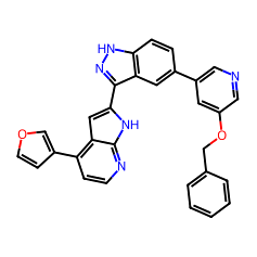 c1ccc(COc2cncc(-c3ccc4[nH]nc(-c5cc6c(-c7ccoc7)ccnc6[nH]5)c4c3)c2)cc1